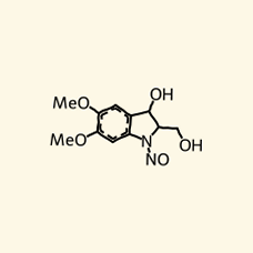 COc1cc2c(cc1OC)N(N=O)C(CO)C2O